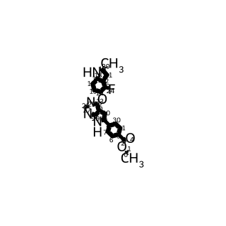 CCOC(=O)c1ccc(-c2cc3c(Oc4ccc5[nH]c(C)cc5c4F)ncnc3[nH]2)cc1